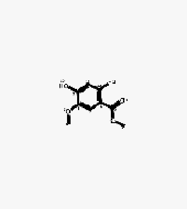 COC(=O)c1cc(OC)c(O)cc1F